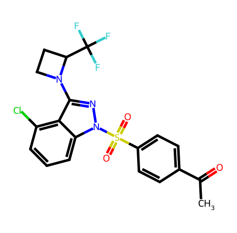 CC(=O)c1ccc(S(=O)(=O)n2nc(N3CCC3C(F)(F)F)c3c(Cl)cccc32)cc1